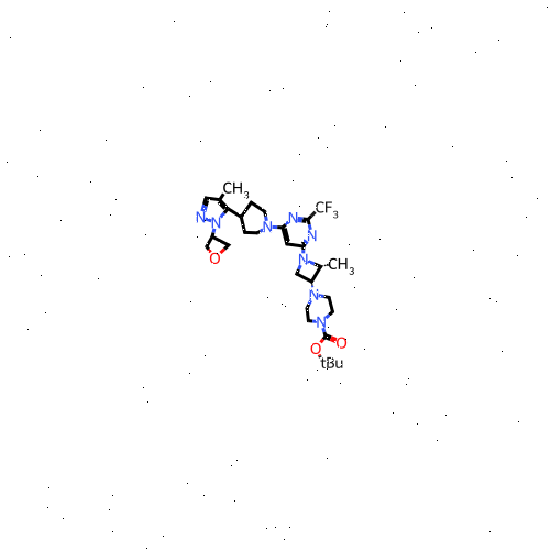 Cc1cnn(C2COC2)c1C1CCN(c2cc(N3C[C@@H](N4CCN(C(=O)OC(C)(C)C)CC4)[C@H]3C)nc(C(F)(F)F)n2)CC1